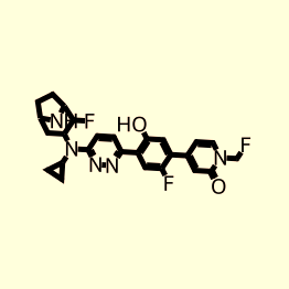 O=c1cc(-c2cc(O)c(-c3ccc(N(C4CC4)C4CC5CCC(N5)C4F)nn3)cc2F)ccn1CF